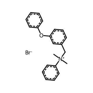 C[N+](C)(Cc1cccc(Oc2ccccc2)c1)c1ccccc1.[Br-]